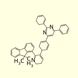 CC1(C)c2ccccc2-c2cccc(C3=NCCC=C3C3C=CC(c4cc(-c5ccccc5)nc(C5=CC=CCC5)n4)=CC3)c21